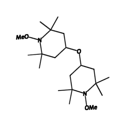 CON1C(C)(C)CC(OC2CC(C)(C)N(OC)C(C)(C)C2)CC1(C)C